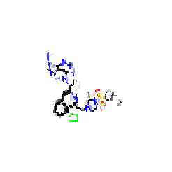 CC(Nc1ncnc2[nH]cnc12)c1cc2cccc(Cl)c2c(CN2CCN(S(C)(=O)=O)CC2)n1